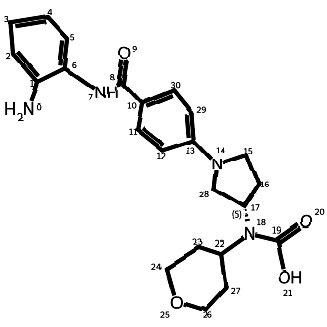 Nc1ccccc1NC(=O)c1ccc(N2CC[C@H](N(C(=O)O)C3CCOCC3)C2)cc1